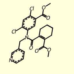 COC(=O)C1=C(C(=O)N(Cc2cccnc2)c2cc(C(=O)OC)c(Cl)cc2Cl)CCCC1